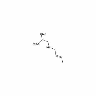 CC=CCNCC(OC)OC